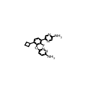 Nc1cnc(-c2ccc(C3CCC3)c(Oc3ccc(N)nn3)c2F)cn1